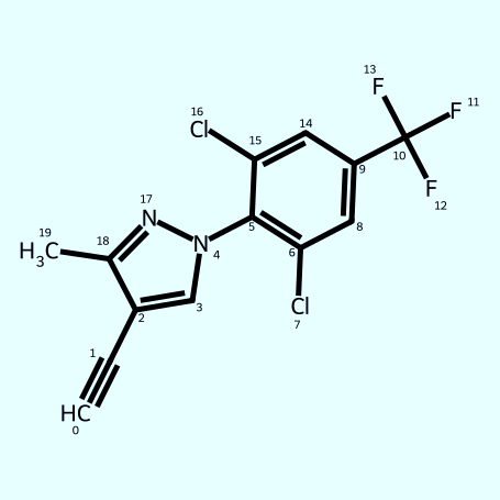 C#Cc1cn(-c2c(Cl)cc(C(F)(F)F)cc2Cl)nc1C